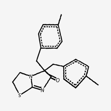 Cc1ccc(CC2(Cc3ccc(C)cc3)C(=O)N=C3SCCN32)cc1